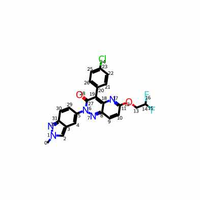 Cn1cc2cc(-n3nc4ccc(OCC(F)F)nc4c(-c4ccc(Cl)cc4)c3=O)ccc2n1